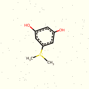 C[S+](C)c1cc(O)cc(O)c1